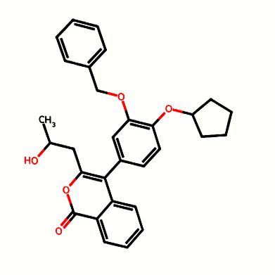 CC(O)Cc1oc(=O)c2ccccc2c1-c1ccc(OC2CCCC2)c(OCc2ccccc2)c1